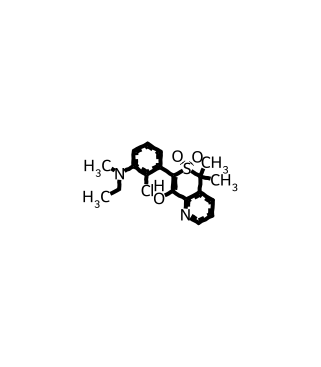 CCN(C)c1cccc(C2=C(O)c3ncccc3C(C)(C)S2(=O)=O)c1Cl